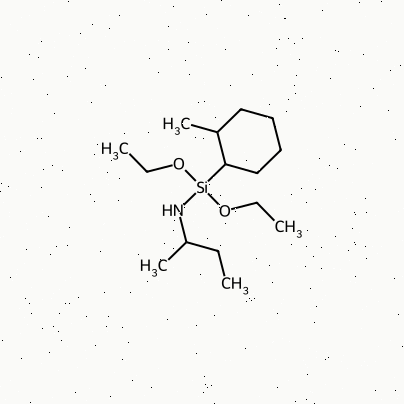 CCO[Si](NC(C)CC)(OCC)C1CCCCC1C